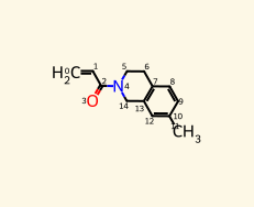 C=CC(=O)N1CCc2ccc(C)cc2C1